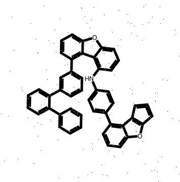 C1=Cc2oc3cccc(-c4ccc(Nc5cccc6oc7cccc(-c8cccc(-c9ccccc9-c9ccccc9)c8)c7c56)cc4)c3c2C=1